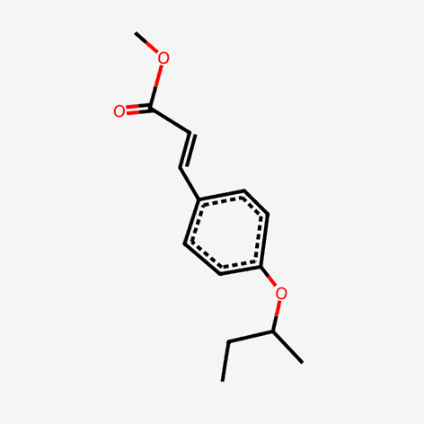 CCC(C)Oc1ccc(C=CC(=O)OC)cc1